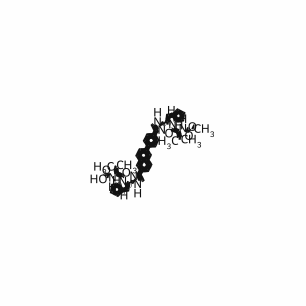 COC(=O)NC(C(=O)N1[C@H](c2nc(-c3ccc(-c4ccc5cc(-c6c[nH]c([C@@H]7C[C@@H]8CCC[C@@H]8N7C(=O)C(NC(=O)O)C(C)C)n6)ccc5c4)cc3)c[nH]2)C[C@@H]2CCC[C@@H]21)C(C)C